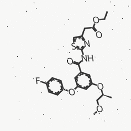 CCOC(=O)Cc1csc(NC(=O)c2cc(Oc3ccc(F)cc3)cc(O[C@@H](C)COC)c2)n1